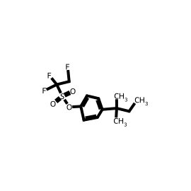 CCC(C)(C)c1ccc(OS(=O)(=O)C(F)(F)CF)cc1